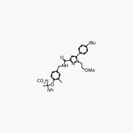 CCCC(C)(Oc1ccc(CNC(=O)c2cc(-c3ccc(C(C)(C)C)cc3)n(CCOC)n2)cc1C)C(=O)O